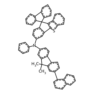 CC1(C)c2cc(-c3cccc4ccccc34)ccc2-c2ccc(N(c3ccccc3)c3ccc4c(c3)-c3sc5ccccc5c3C43c4ccccc4-c4ccccc43)cc21